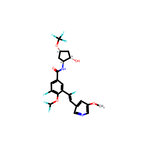 COc1cncc(/C=C(\F)c2cc(C(=O)N[C@H]3C[C@H](OC(F)(F)F)C[C@@H]3O)cc(F)c2OC(F)F)c1